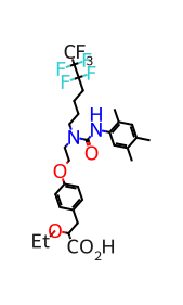 CCOC(Cc1ccc(OCCN(CCCCC(F)(F)C(F)(F)C(F)(F)F)C(=O)Nc2cc(C)c(C)cc2C)cc1)C(=O)O